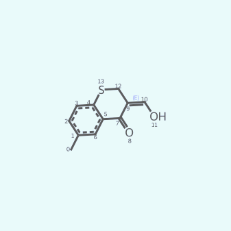 Cc1ccc2c(c1)C(=O)/C(=C\O)CS2